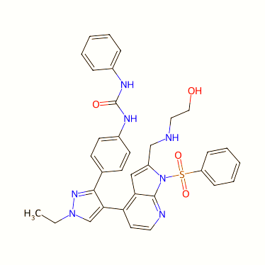 CCn1cc(-c2ccnc3c2cc(CNCCO)n3S(=O)(=O)c2ccccc2)c(-c2ccc(NC(=O)Nc3ccccc3)cc2)n1